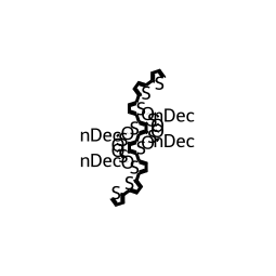 CCCCCCCCCCS(=O)(=O)c1c(-c2ccc(-c3ccc(-c4cccs4)s3)s2)sc(-c2sc(-c3ccc(-c4ccc(-c5cccs5)s4)s3)c(S(=O)(=O)CCCCCCCCCC)c2S(=O)(=O)CCCCCCCCCC)c1S(=O)(=O)CCCCCCCCCC